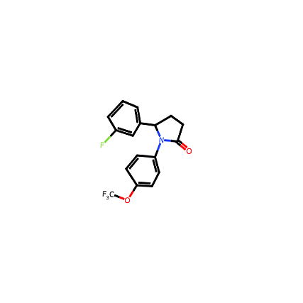 O=C1CCC(c2cccc(F)c2)N1c1ccc(OC(F)(F)F)cc1